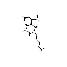 CC(=O)OC(C)CCCCn1c(=O)c2c(N(C)C)cc(C)nc2n(C)c1=O